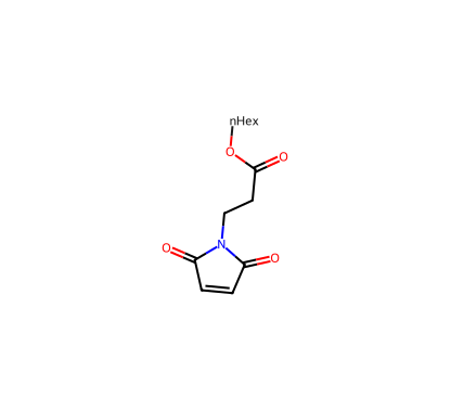 CCCCCCOC(=O)CCN1C(=O)C=CC1=O